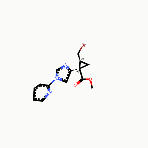 COC(=O)[C@]1(c2cn(-c3ccccn3)cn2)C[C@@H]1CBr